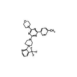 Cc1ccc(-c2nc(N3CCOCC3)nc(N3CCN(c4ncccc4C(F)(F)F)CC3)n2)cc1